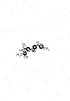 Cc1ccc(Nc2ccc3c(c2)ncn3-c2ccc(C(C)O)c(-n3cc(C#N)c(C)n3)n2)nn1